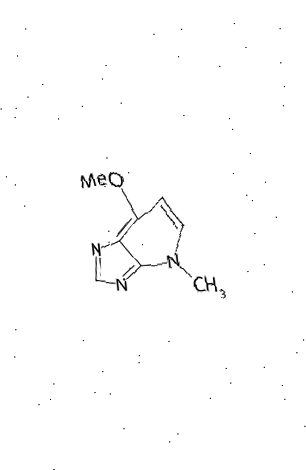 COc1ccn(C)c2ncnc1-2